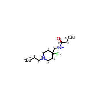 CC(C)(C)CCN1CCC(F)(CNC(=O)CC(C)(C)C)CC1